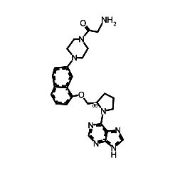 NCC(=O)N1CCN(c2ccc3cccc(OC[C@H]4CCCN4c4ncnc5[nH]cnc45)c3c2)CC1